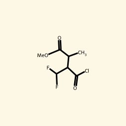 COC(=O)C(C)C(C(=O)Cl)C(F)F